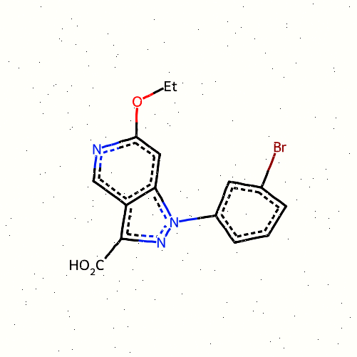 CCOc1cc2c(cn1)c(C(=O)O)nn2-c1cccc(Br)c1